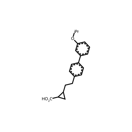 CC(C)Oc1cccc(-c2ccc(CCC3CC3C(=O)O)cc2)c1